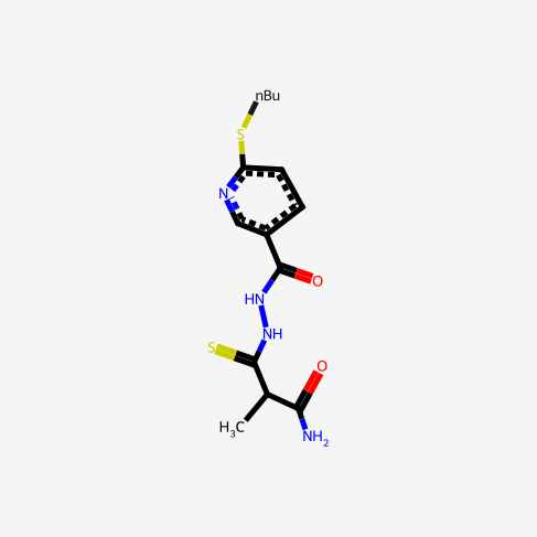 CCCCSc1ccc(C(=O)NNC(=S)C(C)C(N)=O)cn1